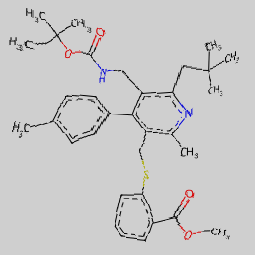 COC(=O)c1ccccc1SCc1c(C)nc(CC(C)(C)C)c(CNC(=O)OC(C)(C)C)c1-c1ccc(C)cc1